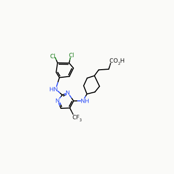 O=C(O)CCC1CCC(Nc2nc(Nc3ccc(Cl)c(Cl)c3)ncc2C(F)(F)F)CC1